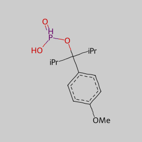 COc1ccc(C(O[PH](=O)O)(C(C)C)C(C)C)cc1